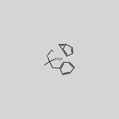 CC(=O)SC(C)(Cc1ccccc1)C(=O)O.c1cc2cc-2c1